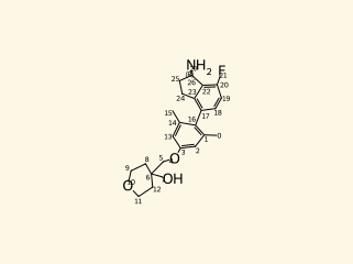 Cc1cc(OCC2(O)CCOCC2)cc(C)c1-c1ccc(F)c2c1CC[C@H]2N